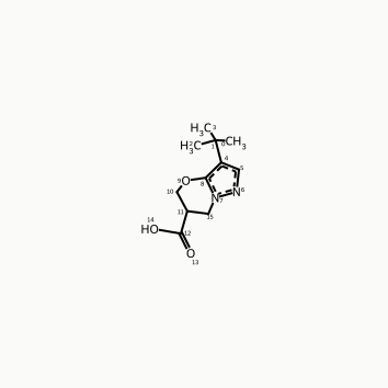 CC(C)(C)c1cnn2c1OCC(C(=O)O)C2